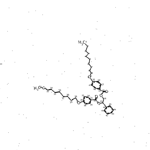 CCCCCCCCCCOc1ccc(C(=O)OCC(OC(=O)c2ccc(OCCCCCCCCCC)cc2)c2ccccc2)cc1